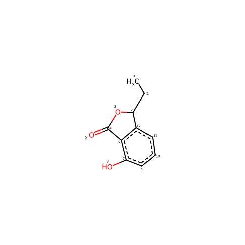 CCC1OC(=O)c2c(O)cccc21